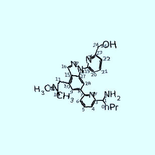 CCCC(N)c1cccc(-c2cc(CN(C)C)c3cnn(-c4cccc(CO)n4)c3c2)n1